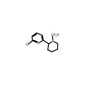 O=C(O)N1CCCCC1c1cccc(Cl)n1